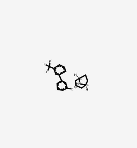 FC(F)(F)c1cccc(-c2cccc(O[C@@H]3C[C@H]4CC[C@@H](C3)N4)c2)c1